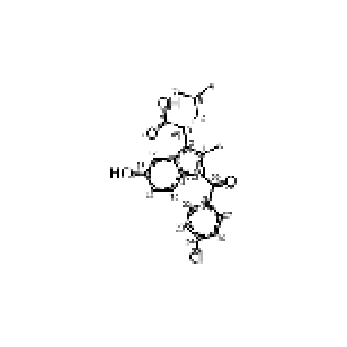 Cc1c([C@@H](CC(C)C)C(=O)O)c2cc(O)ccc2n1C(=O)c1ccc(Cl)cc1